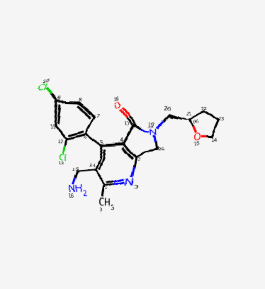 Cc1nc2c(c(-c3ccc(Cl)cc3Cl)c1CN)C(=O)N(C[C@H]1CCCO1)C2